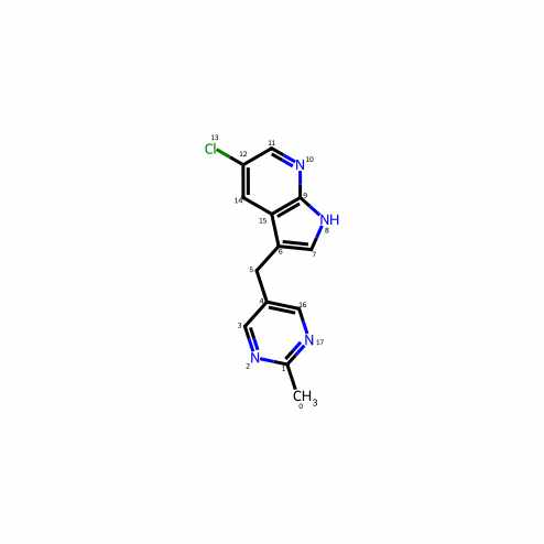 Cc1ncc(Cc2c[nH]c3ncc(Cl)cc23)cn1